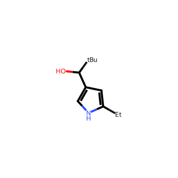 CCc1cc(C(O)C(C)(C)C)c[nH]1